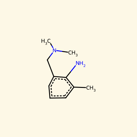 Cc1cccc(CN(C)C)c1N